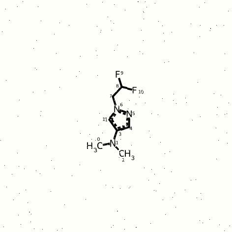 CN(C)c1cnn(CC(F)F)c1